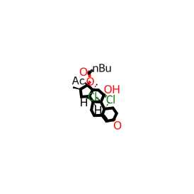 CCCCC(=O)O[C@@]1(C(C)=O)[C@H](C)C[C@H]2[C@@H]3CCC4=CC(=O)CC[C@]4(C)[C@@]3(Cl)[C@@](O)(Cl)C[C@@]21C